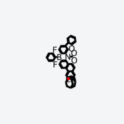 O=C1Oc2cc3cc4c(cc3c3ccc5c(c23)N1c1c(ccc2c1oc1ccccc12)B5c1c(F)cccc1F)C1CC2CC(CC4C2)C1